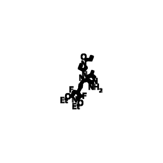 C=CC(=O)N1CCC(n2nc(C#Cc3c(F)c(OCC)nc(OCC)c3F)c3c(N)ncc(C)c32)C1